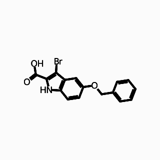 O=C(O)c1[nH]c2ccc(OCc3ccccc3)cc2c1Br